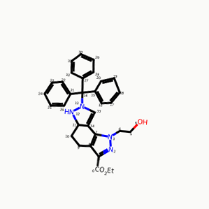 CCOC(=O)c1nn(CCO)c2c1CCC1NN(C(c3ccccc3)(c3ccccc3)c3ccccc3)C=C21